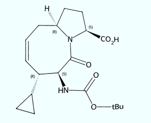 CC(C)(C)OC(=O)N[C@@H]1C(=O)N2[C@@H](CC=C[C@H]1C1CC1)CC[C@H]2C(=O)O